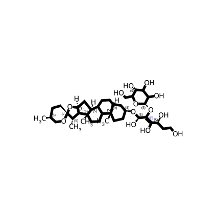 C[C@H]1CC[C@@]2(OC1)O[C@H]1C[C@H]3C4CC[C@@H]5C[C@@H](O[C@H](O)/C(O[C@@H]6OC(CO)[C@@H](O)C(O)C6O)=C(\O)[C@@H](O)CCO)CC[C@]5(C)C4CC[C@]3(C)C1[C@@H]2C